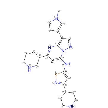 Cn1ccc(-c2cnn3c(Nc4cc(C5CCNCC5)ns4)cc(C4CCCNC4)nc23)c1